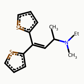 CCN(C)C(C)C=C(c1cccs1)c1cccs1